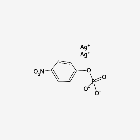 O=[N+]([O-])c1ccc(OP(=O)([O-])[O-])cc1.[Ag+].[Ag+]